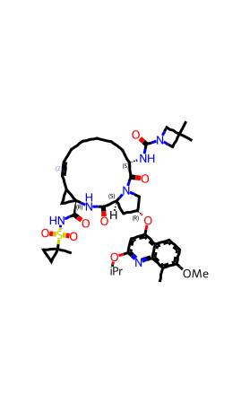 COc1ccc2c(O[C@@H]3C[C@H]4C(=O)N[C@]5(C(=O)NS(=O)(=O)C6(C)CC6)CC5/C=C\CCCCC[C@H](NC(=O)N5CC(C)(C)C5)C(=O)N4C3)cc(OC(C)C)nc2c1C